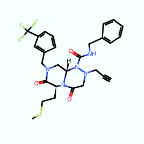 C#CCN1CC(=O)N2[C@@H](CCSC)C(=O)N(Cc3cccc(C(F)(F)F)c3)C[C@@H]2N1C(=O)NCc1ccccc1